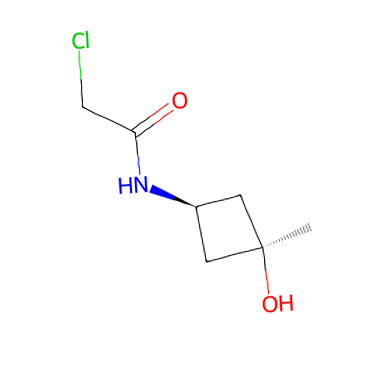 C[C@]1(O)C[C@@H](NC(=O)CCl)C1